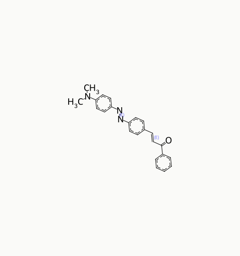 CN(C)c1ccc(/N=N/c2ccc(/C=C/C(=O)c3ccccc3)cc2)cc1